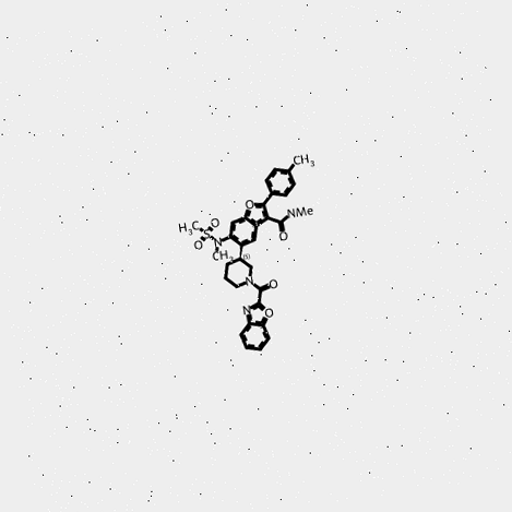 CNC(=O)c1c(-c2ccc(C)cc2)oc2cc(N(C)S(C)(=O)=O)c([C@@H]3CCCN(C(=O)c4nc5ccccc5o4)C3)cc12